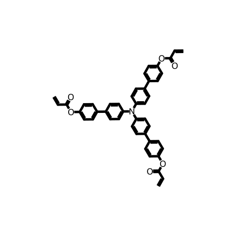 C=CC(=O)Oc1ccc(-c2ccc(N(c3ccc(-c4ccc(OC(=O)C=C)cc4)cc3)c3ccc(-c4ccc(OC(=O)C=C)cc4)cc3)cc2)cc1